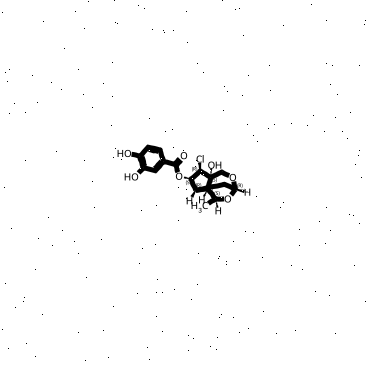 C[C@@H]1O[C@@H]2C[C@H]3[C@H](OC(=O)c4ccc(O)c(O)c4)[C@@H](Cl)[C@@](O)(CO2)[C@H]31